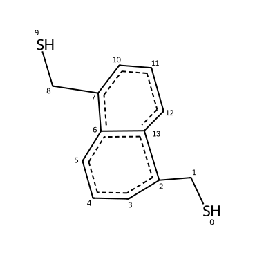 SCc1cccc2c(CS)cccc12